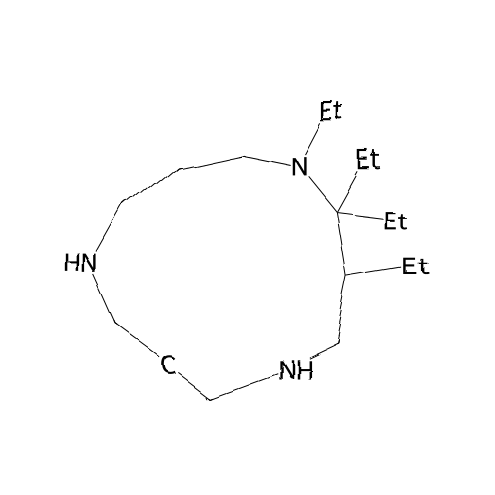 CCC1CNCCCNCCCN(CC)C1(CC)CC